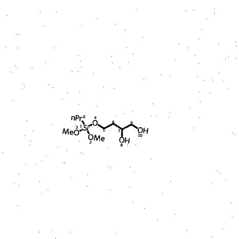 CCC[Si](OC)(OC)OCCC(O)CO